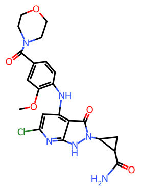 COc1cc(C(=O)N2CCOCC2)ccc1Nc1cc(Cl)nc2[nH]n(C3CC3C(N)=O)c(=O)c12